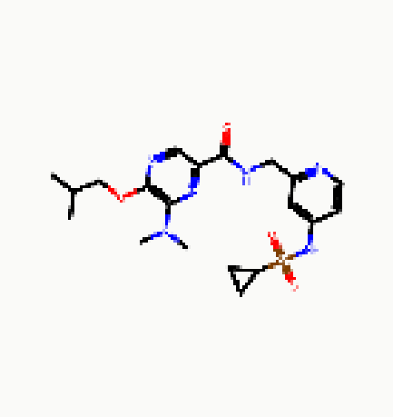 CC(C)COc1ncc(C(=O)NCc2cc(NS(=O)(=O)C3CC3)ccn2)nc1N(C)C